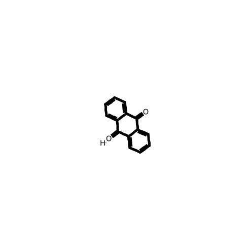 O=C1c2ccccc2C(=O)c2ccccc21.[H]